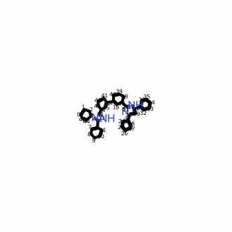 C1=CCC(N2C(C3=CCCC=C3)NC2C2C=C(C3=CC(C4=NC(c5ccccc5)=CC(c5ccccc5)N4)CC=C3)C=CC2)C=C1